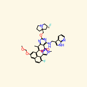 COCOc1cc(-c2oc(=O)c3c(NCc4c[nH]c5ncccc45)nc(OC[C@@]45CCCN4C[C@H](F)C5)nc3c2C)c2c(-c3cn(C)nn3)c(F)ccc2c1